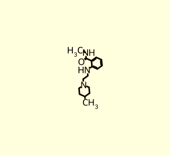 CNC(=O)c1ccccc1NCCN1CCC(C)CC1